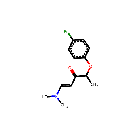 CC(Oc1ccc(Br)cc1)C(=O)/C=C/N(C)C